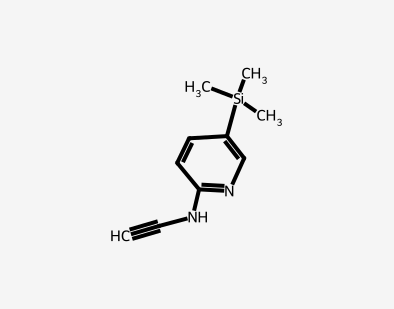 C#CNc1ccc([Si](C)(C)C)cn1